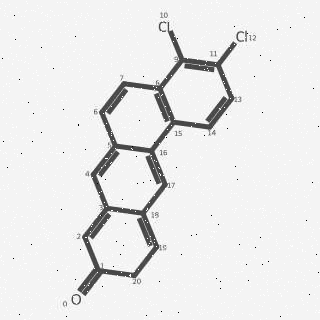 O=C1C=c2cc3ccc4c(Cl)c(Cl)ccc4c3cc2=CC1